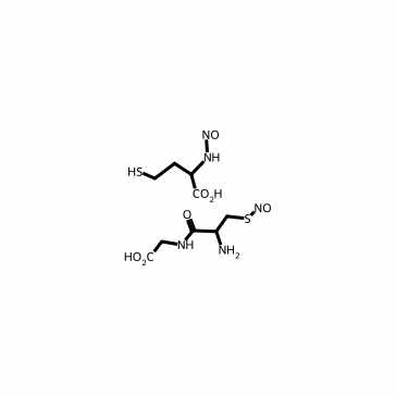 NC(CSN=O)C(=O)NCC(=O)O.O=NNC(CCS)C(=O)O